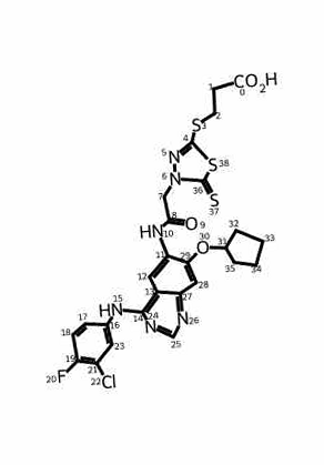 O=C(O)CCSc1nn(CC(=O)Nc2cc3c(Nc4ccc(F)c(Cl)c4)ncnc3cc2OC2CCCC2)c(=S)s1